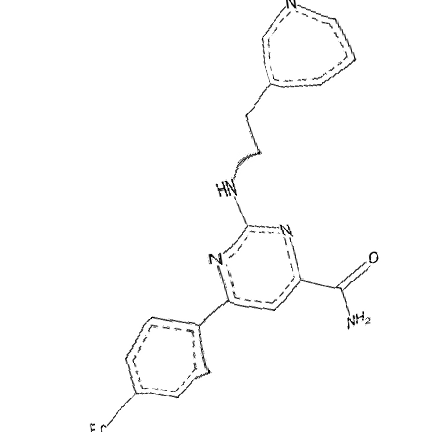 NC(=O)c1cc(-c2ccc(C(F)(F)F)cc2)nc(NCCc2cccnc2)n1